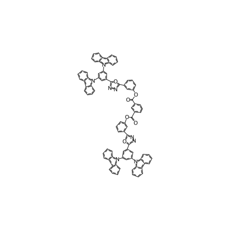 O=C(Oc1cccc(-c2nnc(-c3cc(-n4c5ccccc5c5ccccc54)cc(-n4c5ccccc5c5ccccc54)c3)o2)c1)c1cccc(C(=O)Oc2cccc(-c3nnc(-c4cc(-n5c6ccccc6c6ccccc65)cc(-n5c6ccccc6c6ccccc65)c4)o3)c2)c1